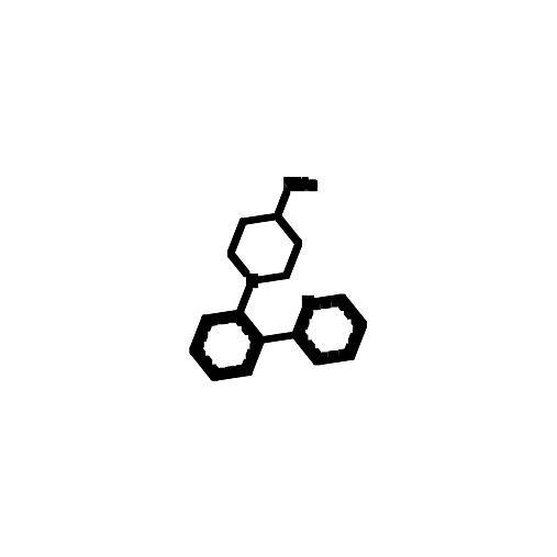 CNC1CCN(c2ccccc2-c2ccccn2)CC1